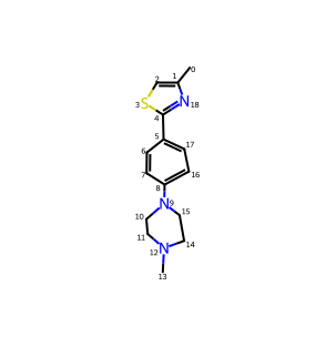 Cc1csc(-c2ccc(N3CCN(C)CC3)cc2)n1